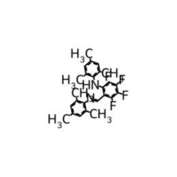 Cc1cc(C)c(/N=C/c2c(F)c(F)c(F)c(F)c2Nc2c(C)cc(C)cc2C)c(C)c1